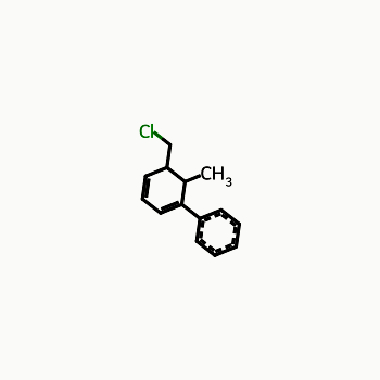 CC1C(c2ccccc2)=CC=CC1CCl